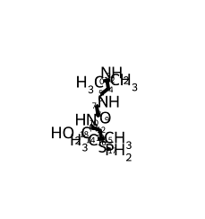 CC(C)(N)CCNCC(=O)N[C@@H](CC(C)(C)SP)C(=O)O